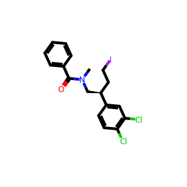 CN(C[C@@H](CCI)c1ccc(Cl)c(Cl)c1)C(=O)c1ccccc1